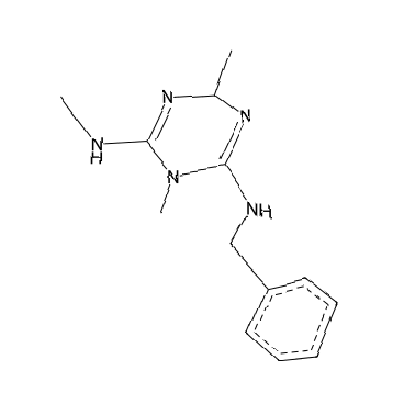 CNC1=NC(C)N=C(NCc2ccccc2)N1C